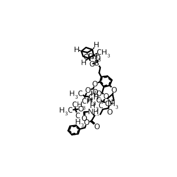 CC(C)(C)OC(=O)N[C@H](CCC(=O)N1CC(Oc2ccc(CCB3O[C@@H]4C[C@@H]5C[C@@H](C5(C)C)[C@]4(C)O3)c(OC(=O)OC(C)(C)C)c2C(O)OC(C)(C)C)C1)C(=O)OCc1ccccc1